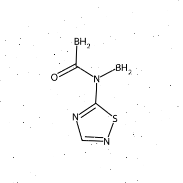 BC(=O)N(B)c1ncns1